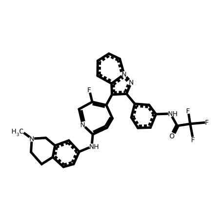 CN1CCc2ccc(NC3=C=CC(c4c(-c5cccc(NC(=O)C(F)(F)F)c5)nn5ccccc45)=C(F)C=N3)cc2C1